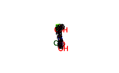 O=C(c1ccc(N2CCC(C3CCN(C(=O)C(O)(c4ccccc4)C(F)(F)F)CC3)CC2)cc1Cl)N1CCC1CO